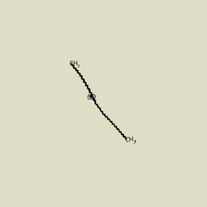 CCCCCCCCCCCCCCCCCCCCCCCCCCCCCCOC(=O)CCCCCCCCCCCCCCCCCCCCC